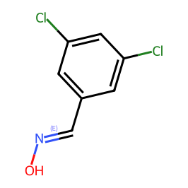 O/N=C/c1cc(Cl)cc(Cl)c1